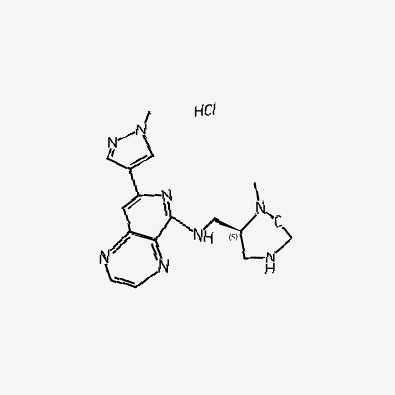 CN1CCNC[C@H]1CNc1nc(-c2cnn(C)c2)cc2nccnc12.Cl